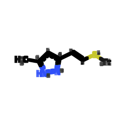 CCSC=Cc1cc(C)[nH]n1